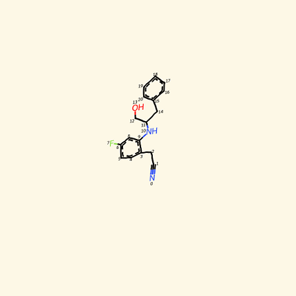 N#CCc1ccc(F)cc1NC(CO)Cc1ccccc1